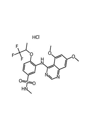 CNS(=O)(=O)c1ccc(OC(C)C(F)(F)F)c(Nc2ncnc3cc(OC)cc(OC)c23)c1.Cl